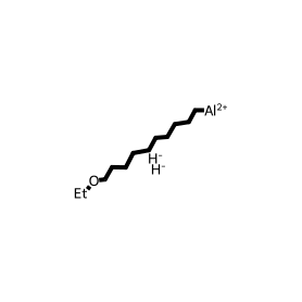 CCOCCCCCCCCC[CH2][Al+2].[H-].[H-]